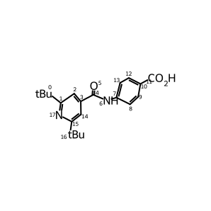 CC(C)(C)c1cc(C(=O)Nc2ccc(C(=O)O)cc2)cc(C(C)(C)C)n1